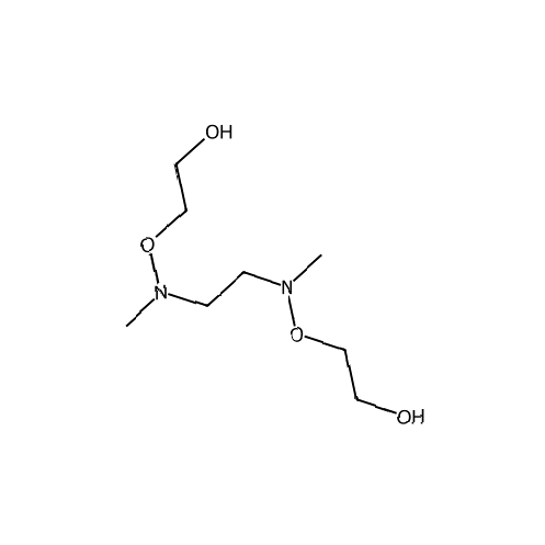 CN(CCN(C)OCCO)OCCO